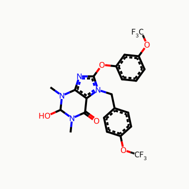 CN1C(=O)c2c(nc(Oc3cccc(OC(F)(F)F)c3)n2Cc2ccc(OC(F)(F)F)cc2)N(C)C1O